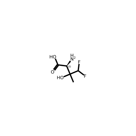 CC(O)(C(F)F)[C@H](N)C(=O)O